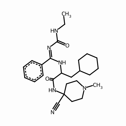 CCNC(=O)/N=C(\NC(CC1CCCCC1)C(=O)NC1(C#N)CCN(C)CC1)c1ccccc1